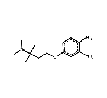 CN(C)C(C)(C)CCOc1ccc(N)c(N)c1